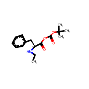 CCN[C@@H](Cc1ccccc1)C(=O)OC(=O)OC(C)(C)C